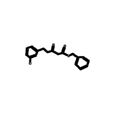 O=C(CCc1cccc(Cl)c1)CC(=O)OCc1ccccc1